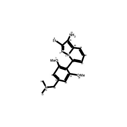 CCc1nn2c(-c3c(OC)cc(CN(C)C)cc3OC)cccc2c1N